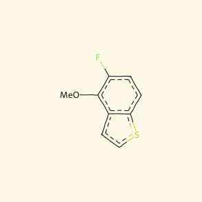 COc1c(F)ccc2sccc12